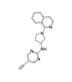 C#Cc1cnc(NC2CCN(c3nccc4ccccc34)C2)nc1